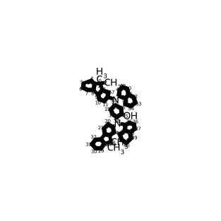 CC1(C)c2ccccc2-c2ccc(N(c3ccc(N(c4ccc5c(c4)C(C)(C)c4ccccc4-5)c4cccc5ccccc45)c(O)c3)c3cccc4ccccc34)cc21